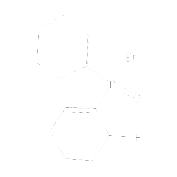 CCP(=O)(c1ccccc1F)C1CCCCC1